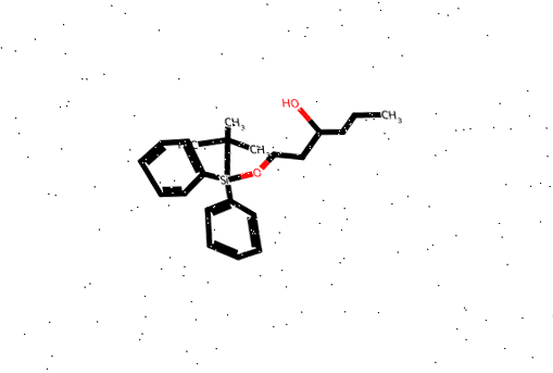 CCCC(O)CCO[Si](c1ccccc1)(c1ccccc1)C(C)(C)C